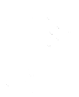 CCOc1nc2nc(n1)Nc1ccc(C(=O)NC(C(=O)O)C3CCCNC3)c(c1)OCCCCCCOc1ccc(cc1)CN2